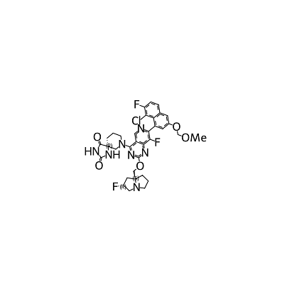 COCOc1cc(-c2ncc3c(N4CCC[C@]5(C4)NC(=O)NC5=O)nc(OC[C@@]45CCCN4C[C@H](F)C5)nc3c2F)c2c(Cl)c(F)ccc2c1